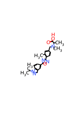 Cc1cc(CN(C)C(C)C(=O)O)ccc1-c1noc(-c2ccc3c(cnn3C(C)C)c2)n1